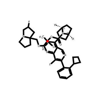 CC(C)(C)OC(=O)N1[C@@H]2CC[C@H]1CN(c1nc(OCC34CCCN3CC(F)C4)nc3c(F)c(-c4ccccc4C4CCC4)ncc13)C2